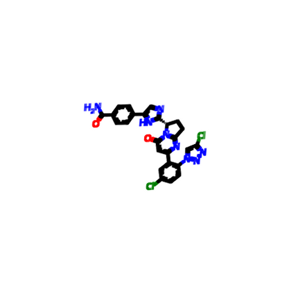 NC(=O)c1ccc(-c2cnc([C@@H]3CCc4nc(-c5cc(Cl)ccc5-n5cc(Cl)nn5)cc(=O)n43)[nH]2)cc1